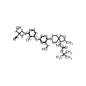 C[C@@H]1OCC2(CCN(c3ncc(Sc4ccnc(N5CC(C#N)(CO)C5)c4Cl)nc3CO)CC2)[C@@H]1NC(=O)OC(C)(C)C